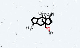 CC(C)OCC12CC3C(C)CCC3C3(C#N)CC1C=C(C(C)C)C32C(=O)O